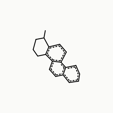 CC1CCCc2c1ccc1c2ccc2ccccc21